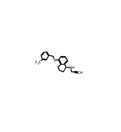 C#CCNC1CCCc2c(SCc3cccc(C(F)(F)F)c3)cccc21